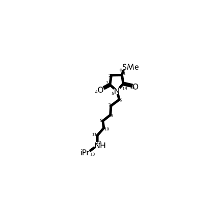 CSC1CC(=O)N(CCCCCCNC(C)C)C1=O